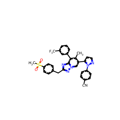 Cc1c(-c2ccnn2-c2ccc(C#N)cc2)cn2nc(Cc3ccc(S(C)(=O)=O)cc3)nc2c1-c1cccc(C(F)(F)F)c1